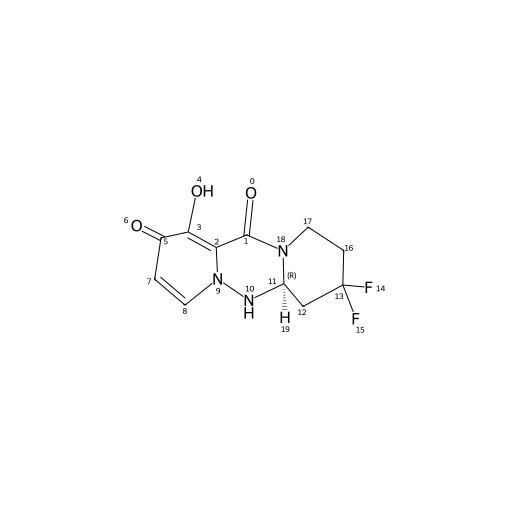 O=C1c2c(O)c(=O)ccn2N[C@@H]2CC(F)(F)CCN12